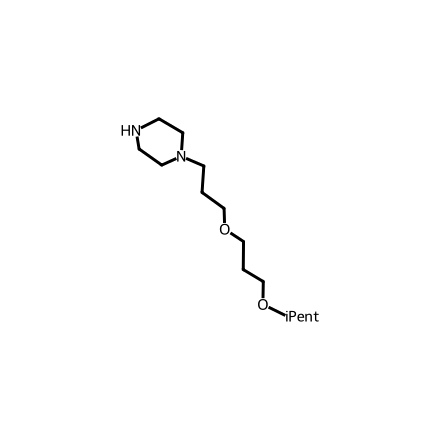 CCCC(C)OCCCOCCCN1CCNCC1